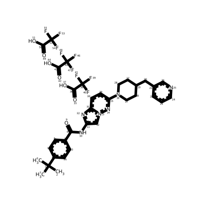 CC(C)(C)c1ccc(C(=O)Nc2cn3nc(N4CCC(Cc5cccnc5)CC4)ccc3n2)cc1.O=C(O)C(F)(F)F.O=C(O)C(F)(F)F.O=C(O)C(F)(F)F